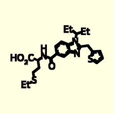 CCSCC[C@H](NC(=O)c1ccc2c(c1)nc(Cc1cccs1)n2C(CC)CC)C(=O)O